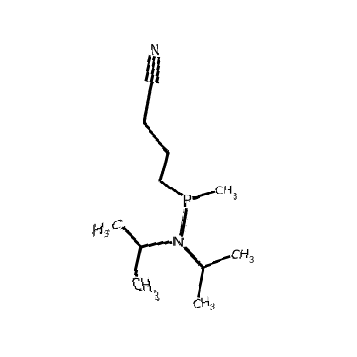 CC(C)N(C(C)C)P(C)CCCC#N